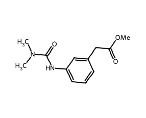 COC(=O)Cc1cccc(NC(=O)N(C)C)c1